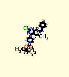 C[C@H]1Cc2c(nc(Cl)nc2N2CCN(C(=O)OC(C)(C)C)CC2)CN1Cc1ccccc1